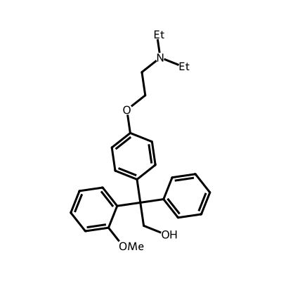 CCN(CC)CCOc1ccc(C(CO)(c2ccccc2)c2ccccc2OC)cc1